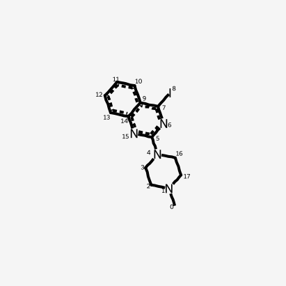 CN1CCN(c2nc(I)c3ccccc3n2)CC1